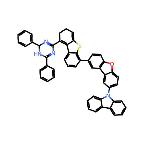 C1=c2sc3c(-c4ccc5oc6ccc(-n7c8ccccc8c8ccccc87)cc6c5c4)cccc3c2=C(C2=NC(c3ccccc3)NC(c3ccccc3)=N2)CC1